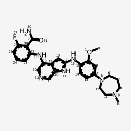 COc1cc(N2CCCN(C)CC2)ccc1Nc1cc2c(Nc3cccc(F)c3C(N)=O)cncc2[nH]1